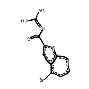 NC(N)=NC(=O)c1cc2c(Br)cccc2s1